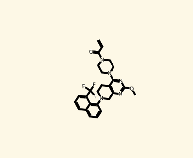 C=CC(=O)N1CCN(c2nc(OC)nc3c2CCN(c2cccc4cccc(C(F)(F)F)c24)C3)CC1